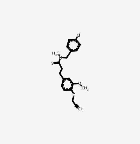 C#CCOc1ccc(CCC(=S)N(C)Cc2ccc(Cl)cc2)cc1OC